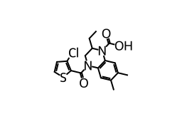 CCC1CN(C(=O)c2sccc2Cl)c2cc(C)c(C)cc2N1C(=O)O